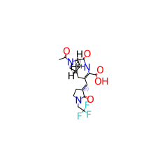 CC(=O)N1C[C@H]2CC(/C=C3\CCN(CC(F)(F)F)C3=O)=C(C(=O)O)N3C(=O)[C@@H]1[C@@H]23